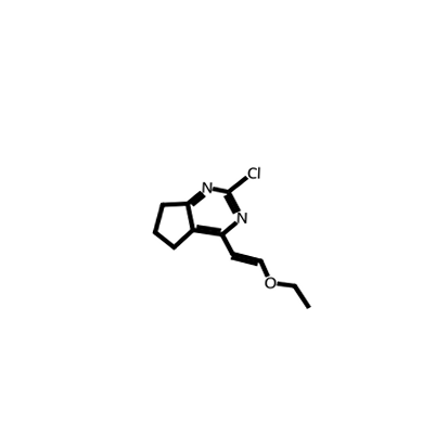 CCOC=Cc1nc(Cl)nc2c1CCC2